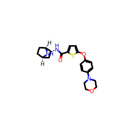 O=C(N[C@@H]1C[C@H]2CC[C@@H]1N2)c1ccc(Oc2ccc(N3CCOCC3)cc2)s1